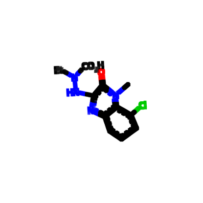 CCN(Nc1nc2cccc(Cl)c2n(C)c1=O)C(=O)O